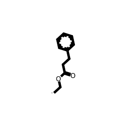 [CH2]COC(=O)CCc1ccccc1